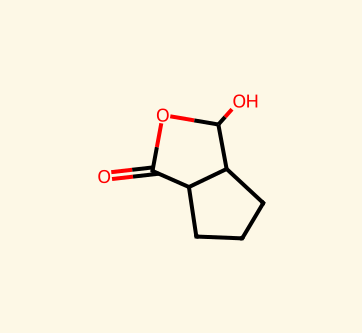 O=C1OC(O)C2CCCC12